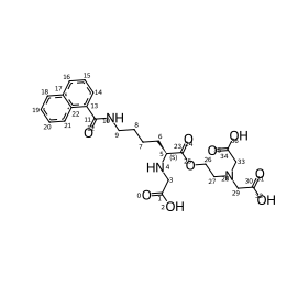 O=C(O)CN[C@@H](CCCCNC(=O)c1cccc2ccccc12)C(=O)OCCN(CC(=O)O)CC(=O)O